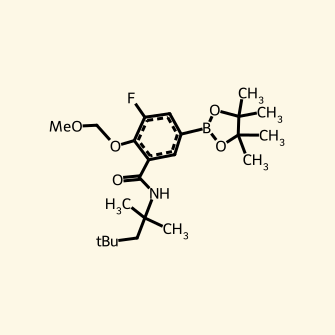 COCOc1c(F)cc(B2OC(C)(C)C(C)(C)O2)cc1C(=O)NC(C)(C)CC(C)(C)C